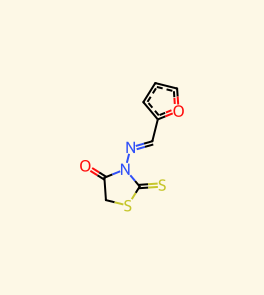 O=C1CSC(=S)N1/N=C/c1ccco1